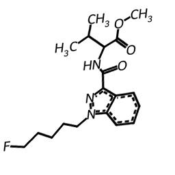 COC(=O)C(NC(=O)c1nn(CCCCCF)c2ccccc12)C(C)C